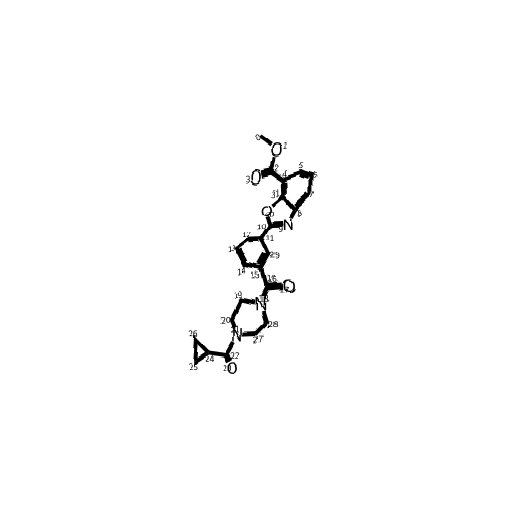 COC(=O)c1cccc2nc(-c3cccc(C(=O)N4CCN(C(=O)C5CC5)CC4)c3)oc12